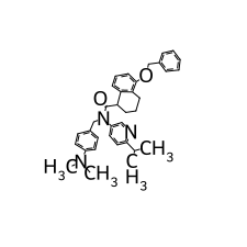 CC(C)c1ccc(N(Cc2ccc(N(C)C)cc2)C(=O)C2CCCc3c(OCc4ccccc4)cccc32)cn1